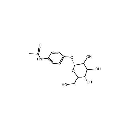 CC(=O)Nc1ccc(O[C@H]2OC(CO)[C@@H](O)C(O)C2O)cc1